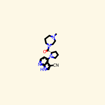 CN1CCCN(C(=O)[C@@H]2CCCN2c2ccnc3[nH]cc(C#N)c23)CC1